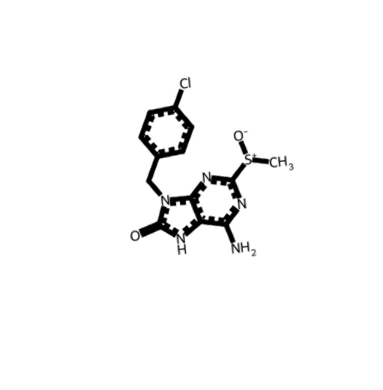 C[S+]([O-])c1nc(N)c2[nH]c(=O)n(Cc3ccc(Cl)cc3)c2n1